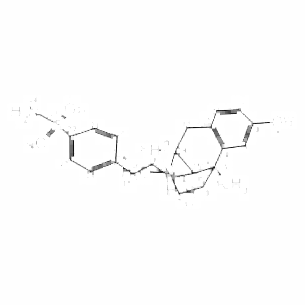 CN1CC[C@@]2(C)c3cc(O)ccc3C[C@H]1[C@@H]2NCCc1ccc(S(N)(=O)=O)cc1